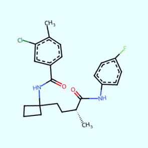 Cc1ccc(C(=O)NC2(CC[C@@H](C)C(=O)Nc3ccc(F)cc3)CCC2)cc1Cl